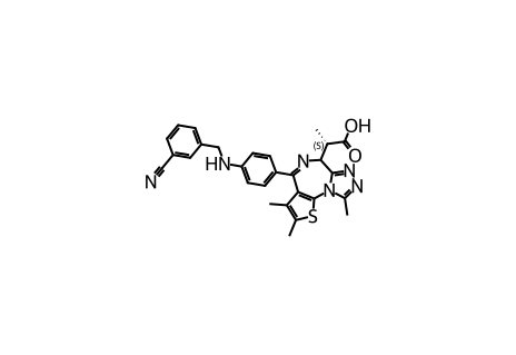 Cc1sc2c(c1C)C(c1ccc(NCc3cccc(C#N)c3)cc1)=NC([C@H](C)C(=O)O)c1nnc(C)n1-2